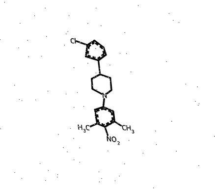 Cc1cc(N2CCC(c3cccc(Cl)c3)CC2)cc(C)c1[N+](=O)[O-]